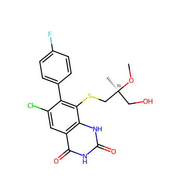 CO[C@@](C)(CO)CSc1c(-c2ccc(F)cc2)c(Cl)cc2c(=O)[nH]c(=O)[nH]c12